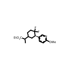 CCOC(=O)C(C)C1CCC(F)(F)[C@@H](c2ccc(OC)nc2)C1